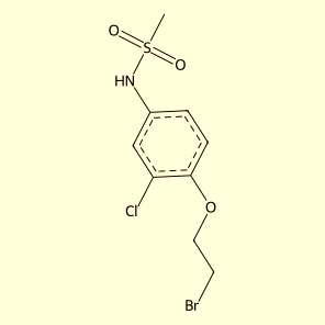 CS(=O)(=O)Nc1ccc(OCCBr)c(Cl)c1